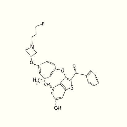 CC1(C)C=C(Oc2c(C(=O)c3ccccc3)sc3cc(O)ccc23)C=CC(OC2CN(CCCF)C2)=C1